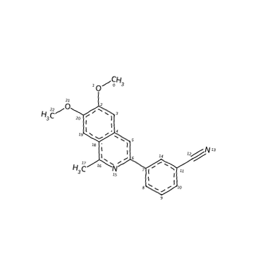 COc1cc2cc(-c3cccc(C#N)c3)nc(C)c2cc1OC